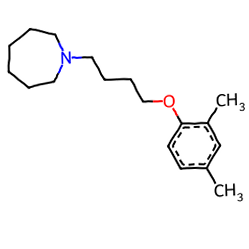 Cc1ccc(OCCCCN2CCCCCC2)c(C)c1